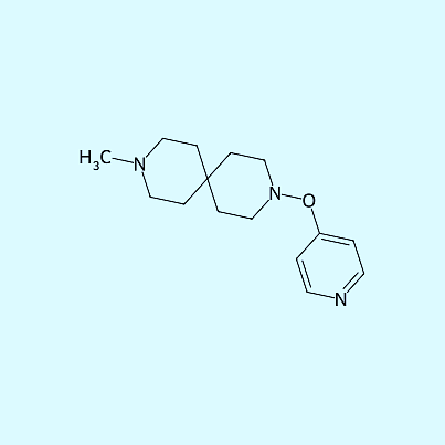 CN1CCC2(CC1)CCN(Oc1ccncc1)CC2